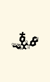 CC1=C(C(=O)Nc2ccc3cnccc3c2)C(c2ccc(C(C)(C)C)cc2)n2nc(CO)cc2N1